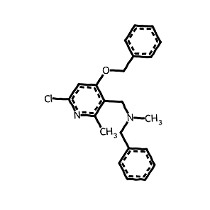 Cc1nc(Cl)cc(OCc2ccccc2)c1CN(C)Cc1ccccc1